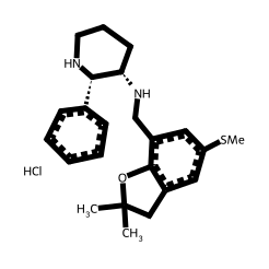 CSc1cc(CN[C@H]2CCCN[C@H]2c2ccccc2)c2c(c1)CC(C)(C)O2.Cl